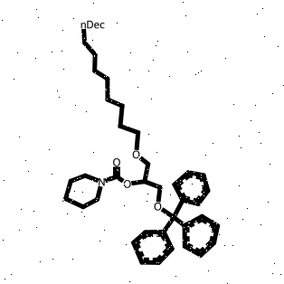 CCCCCCCCCCCCCCCCCCOCC(COC(c1ccccc1)(c1ccccc1)c1ccccc1)OC(=O)N1CCCCC1